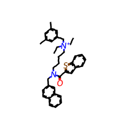 CC[N+](CC)(CCCCN(Cc1ccc2ccccc2c1)C(=O)c1cc2ccccc2s1)Cc1cc(C)cc(C)c1